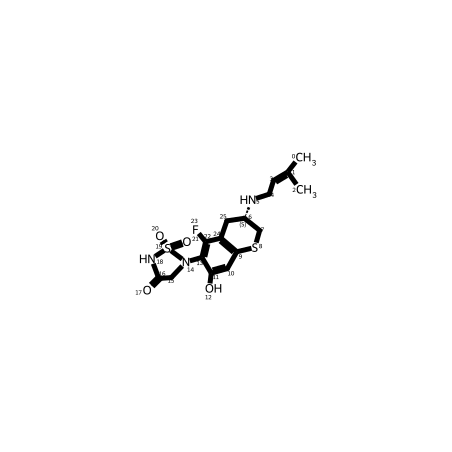 CC(C)=CCN[C@@H]1CSc2cc(O)c(N3CC(=O)NS3(=O)=O)c(F)c2C1